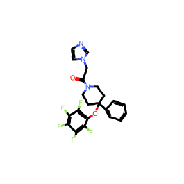 O=C(Cn1ccnc1)N1CCC(Oc2c(F)c(F)c(F)c(F)c2F)(c2ccccc2)CC1